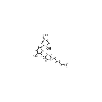 OCC1CCC(O)C(c2ccc(Cl)c(Cc3ccc(OCCOC4CC4)cc3)c2)O1